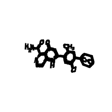 Cc1cc(C23CCC(CC2)CC3)c(Cl)cc1-c1cc(=O)c2c(C(N)=O)nccc2[nH]1